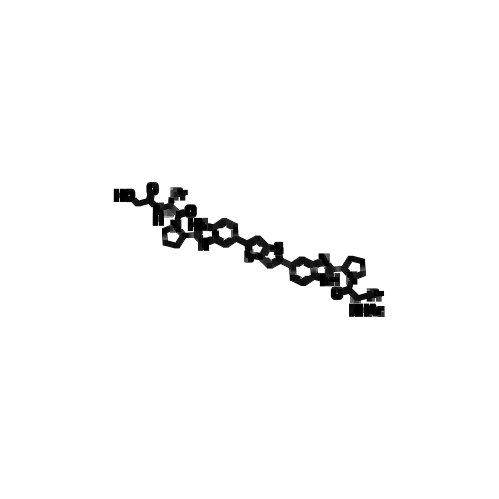 CC(=O)N[C@H](C(=O)N1CCCC1c1nc2cc(-c3cc4sc(-c5ccc6[nH]c(C7CCCN7C(=O)[C@@H](NC(=O)CO)C(C)C)nc6c5)cc4s3)ccc2[nH]1)C(C)C